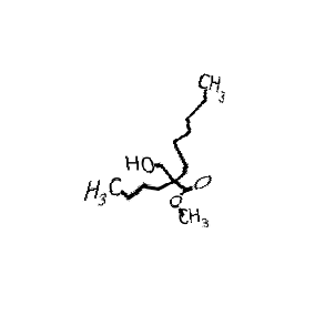 CCCCCCC(CO)(CCCC)C(=O)OC